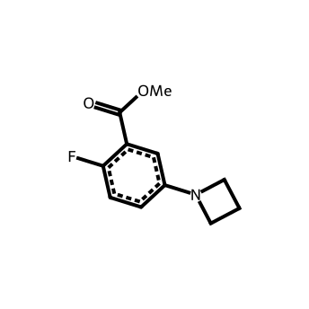 COC(=O)c1cc(N2CCC2)ccc1F